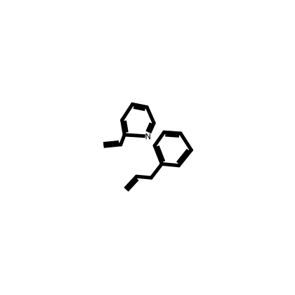 C=CCc1ccccc1.C=Cc1ccccn1